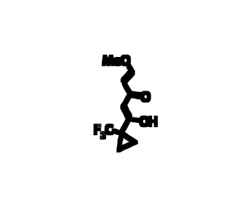 CO/C=C/C(=O)/C=C(\O)C1(C(F)(F)F)CC1